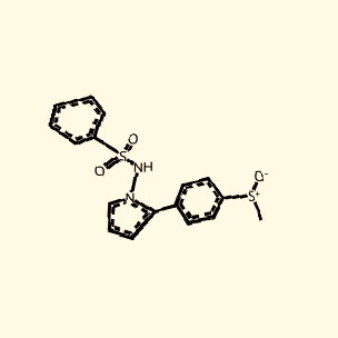 C[S+]([O-])c1ccc(-c2cccn2NS(=O)(=O)c2ccccc2)cc1